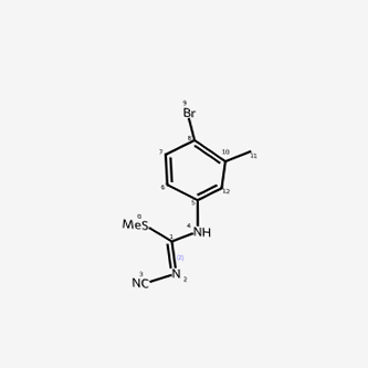 CS/C(=N\C#N)Nc1ccc(Br)c(C)c1